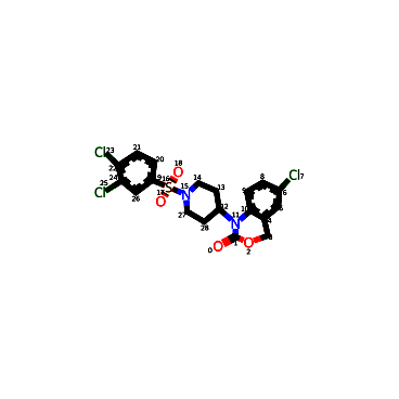 O=C1OCc2cc(Cl)ccc2N1C1CCN(S(=O)(=O)c2ccc(Cl)c(Cl)c2)CC1